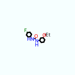 CCOc1cccc(NC(=O)Nc2ccc(F)cc2)c1